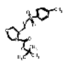 Cc1ccc(S(=O)(=O)OC[C@@H]2COCCN2C(=O)OC(C)(C)C)cc1